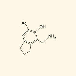 CC(=O)c1cc2c(c(CN)c1O)CCC2